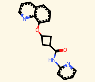 O=C(Nc1ccccn1)C1CC(Oc2cccc3cccnc23)C1